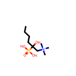 CCCCC(O)(C[N+](C)(C)C)P(=O)(O)O